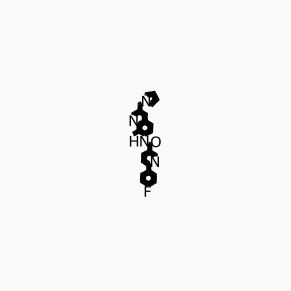 Cc1c(NC(=O)c2ccc(-c3ccc(F)cc3)nc2)ccc2cc(Cn3cccc3)cnc12